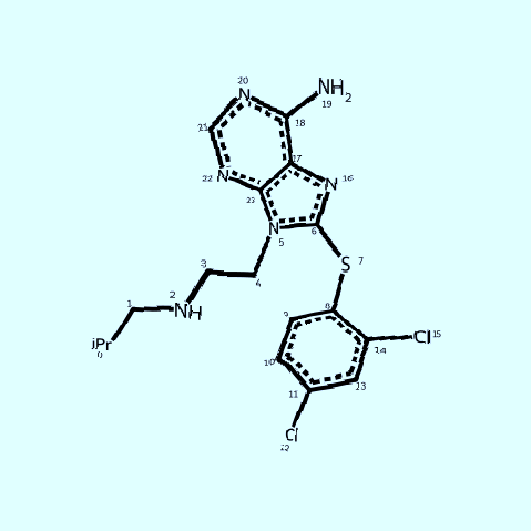 CC(C)CNCCn1c(Sc2ccc(Cl)cc2Cl)nc2c(N)ncnc21